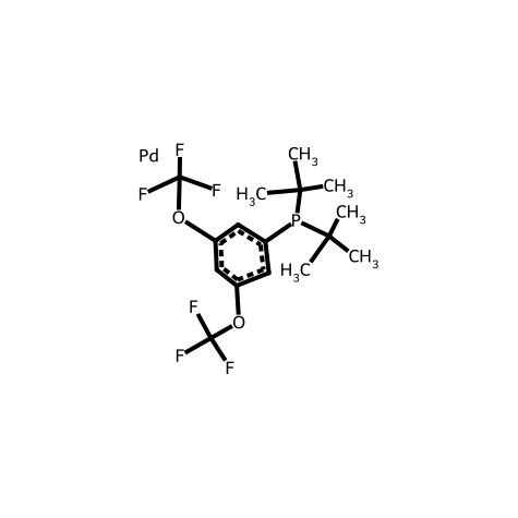 CC(C)(C)P(c1cc(OC(F)(F)F)cc(OC(F)(F)F)c1)C(C)(C)C.[Pd]